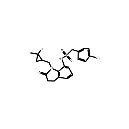 O=C1CCc2cccc(NS(=O)(=O)Cc3ccc(C(F)(F)F)cc3)c2N1CC1CC1(Cl)Cl